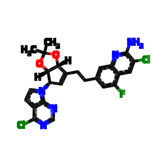 CC1(C)O[C@@H]2[C@H](O1)C(CCc1cc(F)c3cc(Cl)c(N)nc3c1)=C[C@H]2n1ccc2c(Cl)ncnc21